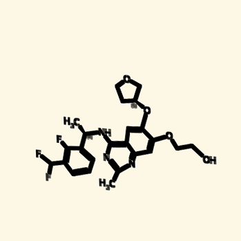 Cc1nc(N[C@H](C)c2cccc(C(F)F)c2F)c2cc(O[C@H]3CCOC3)c(OCCO)cc2n1